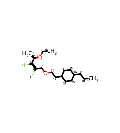 C=C(OCC)/C(F)=C(/F)COCCC1CCC(CCC)CC1